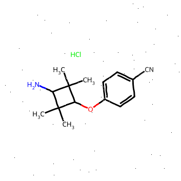 CC1(C)C(N)C(C)(C)C1Oc1ccc(C#N)cc1.Cl